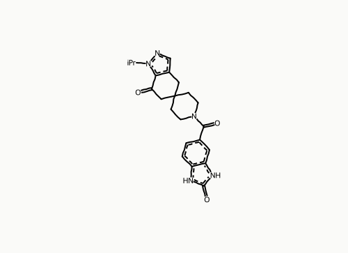 CC(C)n1ncc2c1C(=O)CC1(CCN(C(=O)c3ccc4[nH]c(=O)[nH]c4c3)CC1)C2